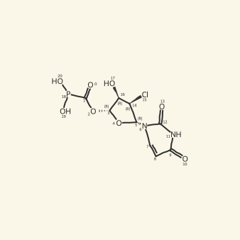 O=C(O[C@H]1O[C@@H](n2ccc(=O)[nH]c2=O)[C@H](Cl)[C@@H]1O)P(O)O